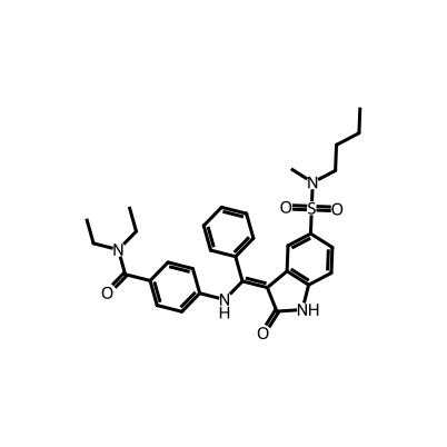 CCCCN(C)S(=O)(=O)c1ccc2c(c1)/C(=C(/Nc1ccc(C(=O)N(CC)CC)cc1)c1ccccc1)C(=O)N2